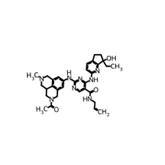 C=CCNC(=O)c1cnc(Nc2cc3c4c(c2)CN(C(C)=O)CC4CN(C)C3)nc1Nc1ccc2c(n1)C(O)(CC)CC2